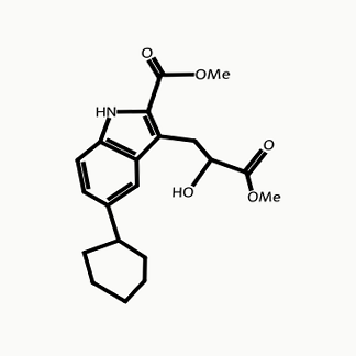 COC(=O)c1[nH]c2ccc(C3CCCCC3)cc2c1CC(O)C(=O)OC